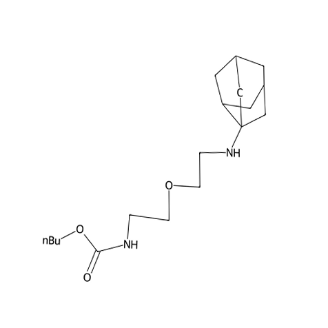 CCCCOC(=O)NCCOCCNC12CC3CC(CC1C3)C2